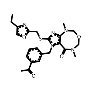 CCc1coc(CSc2nc3c(n2Cc2cccc(C(C)=O)c2)C(=O)N(C)COCN3C)n1